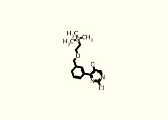 C[Si](C)(C)CCOCC1C=C(c2nc(Cl)ncc2Cl)C=CC1